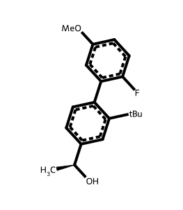 COc1ccc(F)c(-c2ccc([C@H](C)O)cc2C(C)(C)C)c1